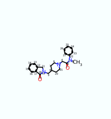 CN(C(=O)CN1CCC(CN2Cc3ccccc3C2=O)CC1)c1ccccc1